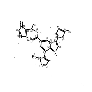 CCn1nccc1-c1cc(C(=O)NC(C)c2nnc[nH]2)cn2c(-c3ccc(C)s3)cnc12